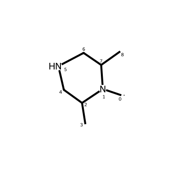 [CH2]N1C(C)CNCC1C